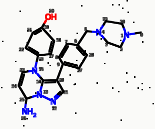 CN1CCN(Cc2ccc(-c3cnn4c3N(c3ccc(O)cc3)C=CC4N)cc2)CC1